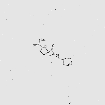 COC(=O)C1CCC2(CN(OCc3ccccc3)C2=O)N1